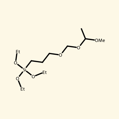 CCO[Si](CCCOCOC(C)OC)(OCC)OCC